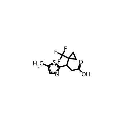 Cc1cnc(C(CC(=O)O)C2(C(F)(F)F)CC2)s1